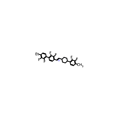 CCc1ccc(-c2ccc(/C=C/C3CCC(c4ccc(C)c(F)c4F)CC3)c(F)c2F)c(F)c1F